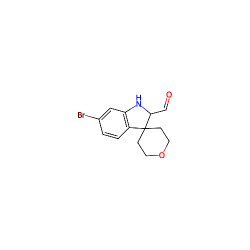 O=CC1Nc2cc(Br)ccc2C12CCOCC2